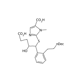 CCCCCCCCCCCCc1ccccc1C(Sc1ncc(C(=O)O)n1C)C(O)CCC(=O)O